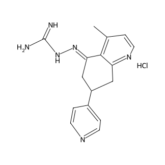 Cc1ccnc2c1C(=NNC(=N)N)CC(c1ccncc1)C2.Cl